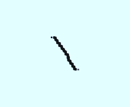 [CH2]CCCCCCCC#CCCCCCCCCCCCCC[CH2]